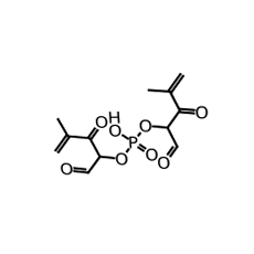 C=C(C)C(=O)C(C=O)OP(=O)(O)OC(C=O)C(=O)C(=C)C